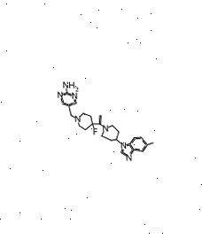 C=C(N1CCC(n2cnc3cc(C)ccc32)CC1)C1(F)CCN(Cc2cnc(N)nc2)CC1